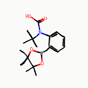 CC(C)(C)N(C(=O)O)c1ccccc1B1OC(C)(C)C(C)(C)O1